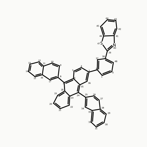 c1cc(-c2ccc3c(-c4ccc5ccccc5c4)c4ccccc4c(-c4ccc5ccccc5c4)c3c2)cc(-c2nc3ccccc3s2)c1